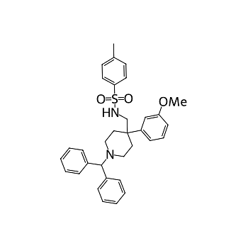 COc1cccc(C2(CNS(=O)(=O)c3ccc(C)cc3)CCN(C(c3ccccc3)c3ccccc3)CC2)c1